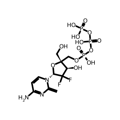 C=C1N=C(N)C=CN1[C@@H]1O[C@](CO)(COP(=O)(O)OP(=O)(O)OP(=O)(O)O)[C@@H](O)C1(F)F